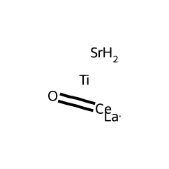 [La].[O]=[Ce].[SrH2].[Ti]